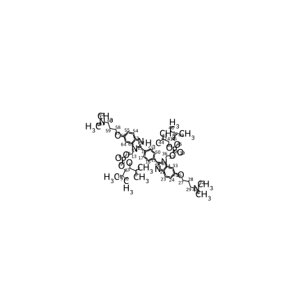 CC(C)COP(=O)(OCC(C)C)OCn1c(-c2ccc(-c3nc4ccc(OCCCN(C)C)cc4n3COP(=O)(OCC(C)C)OCC(C)C)cc2)nc2ccc(OCCCN(C)C)cc21